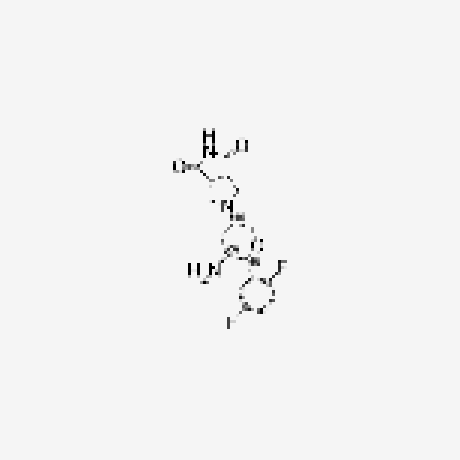 N[C@H]1C[C@@H](N2CC3C(=O)NC(=O)C3C2)CO[C@@H]1c1cc(F)ccc1F